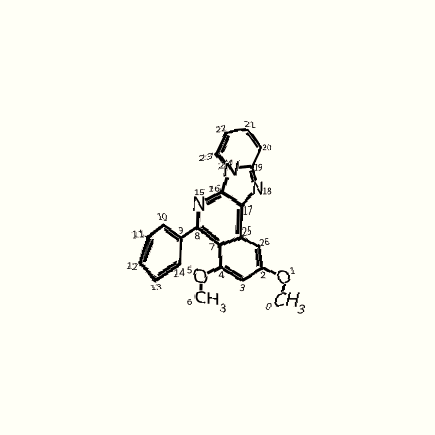 COc1cc(OC)c2c(-c3ccccc3)nc3c(nc4ccccn43)c2c1